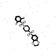 O=S(=O)(c1ccc2c(c1)OCCO2)C1CCN(S(=O)(=O)c2c(F)cccc2F)CC1